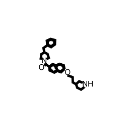 O=C(c1ccc2cc(OCCCC3CCCNC3)ccc2c1)N1CCC(Cc2ccccc2)CC1